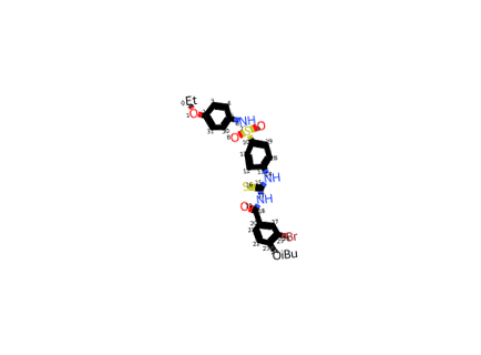 CCOc1ccc(NS(=O)(=O)c2ccc(NC(=S)NC(=O)c3ccc(OCC(C)C)c(Br)c3)cc2)cc1